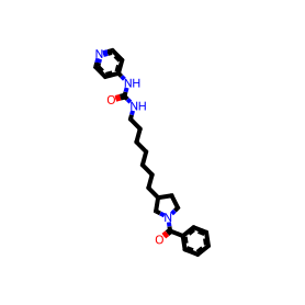 O=C(NCCCCCCCC1CCN(C(=O)c2ccccc2)C1)Nc1ccncc1